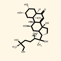 C[C@](O)(CO)CC[C@@H](O)[C@](C)(O)[C@H]1CC[C@@]2(O)C3=CC(=O)[C@@H]4C[C@@H](O)[C@@H](O)C[C@]4(C)[C@H]3[C@H](O)C[C@]12C